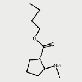 CCCCOC(=O)N1CCCC1NC